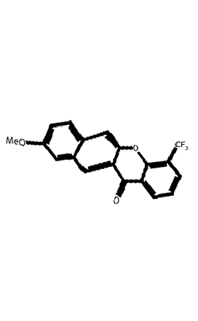 COc1ccc2cc3oc4c(C(F)(F)F)cccc4c(=O)c3cc2c1